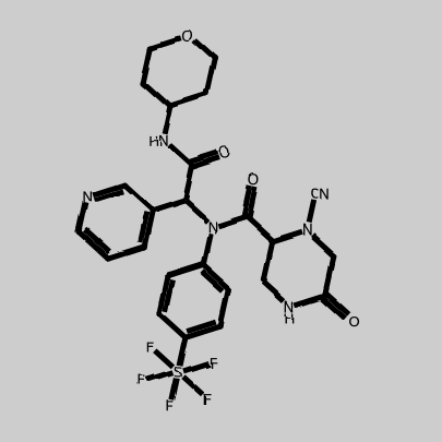 N#CN1CC(=O)NCC1C(=O)N(c1ccc(S(F)(F)(F)(F)F)cc1)C(C(=O)NC1CCOCC1)c1cccnc1